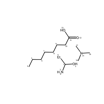 CCC(N)O.CCCCCCCC(=O)O.CN(C)C